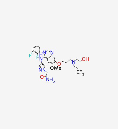 COc1cc2c(cc1OCCCN(CCO)CCC(F)(F)F)=NCN(c1cccc(F)c1F)C=2Nc1cnn(CC(N)=O)c1